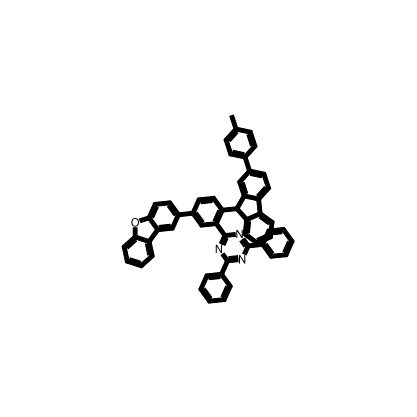 Cc1ccc(-c2ccc3c(c2)C(c2ccc(-c4ccc5oc6ccccc6c5c4)cc2-c2nc(-c4ccccc4)nc(-c4ccccc4)n2)c2ccccc2-3)cc1